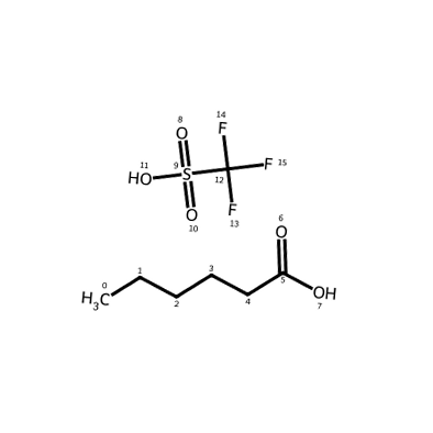 CCCCCC(=O)O.O=S(=O)(O)C(F)(F)F